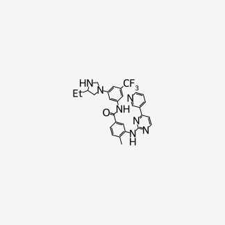 CCC1CN(c2cc(NC(=O)c3ccc(C)c(Nc4nccc(-c5cccnc5)n4)c3)cc(C(F)(F)F)c2)CN1